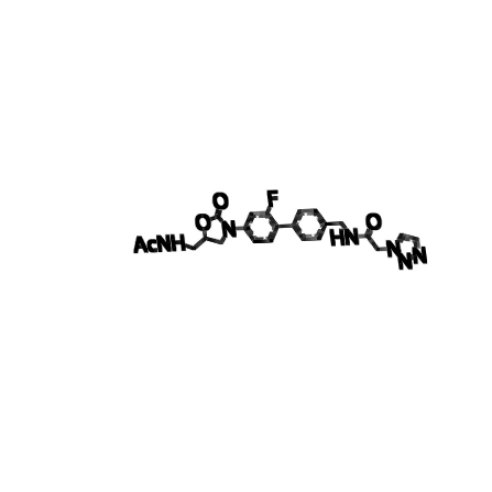 CC(=O)NCC1CN(c2ccc(-c3ccc(CNC(=O)Cn4ccnn4)cc3)c(F)c2)C(=O)O1